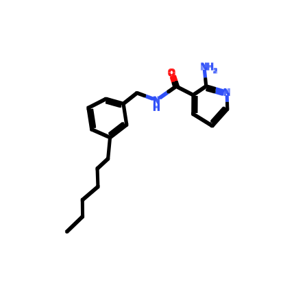 CCCCCCc1cccc(CNC(=O)c2cccnc2N)c1